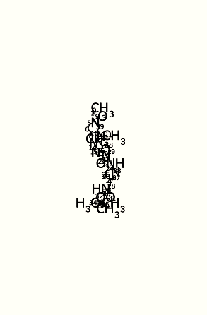 CCC(=O)N1CC[C@@H](C)[C@@H](N(C)c2ncnc3c2ccn3C(=O)Nc2ccc(CNC(=O)OC(C)(C)C)cn2)C1